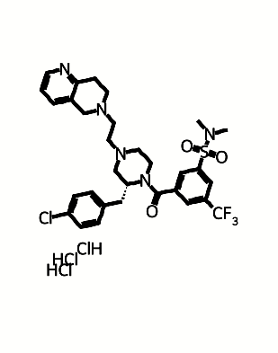 CN(C)S(=O)(=O)c1cc(C(=O)N2CCN(CCN3CCc4ncccc4C3)C[C@H]2Cc2ccc(Cl)cc2)cc(C(F)(F)F)c1.Cl.Cl.Cl